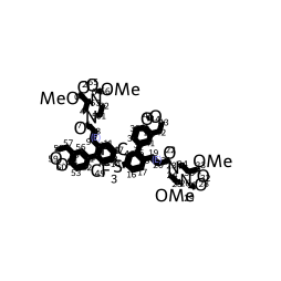 COC(=O)C1CN(C(=O)/C=C/c2ccc(Sc3ccc(/C=C/C(=O)N4CCN(C(=O)OC)C(C(=O)OC)C4)c(-c4ccc5c(c4)CCOO5)c3C(F)(F)F)c(C(F)(F)F)c2-c2ccc3c(c2)CCOO3)CCN1C(=O)OC